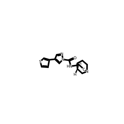 O=C(N[C@H]1CN2CCC1CC2)n1cc(-c2ccsc2)cn1